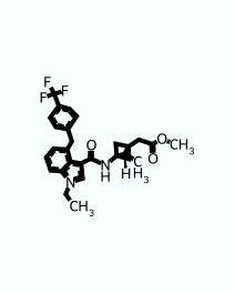 CCn1cc(C(=O)NC23CC(CC(=O)OC)(C2)[C@@H]3C)c2c(Cc3ccc(C(F)(F)F)cc3)cccc21